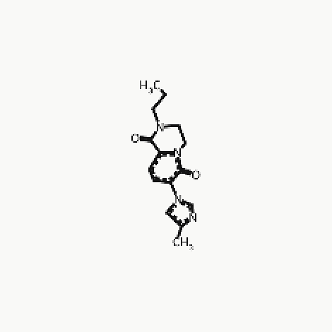 CCCN1CCn2c(ccc(-n3cnc(C)c3)c2=O)C1=O